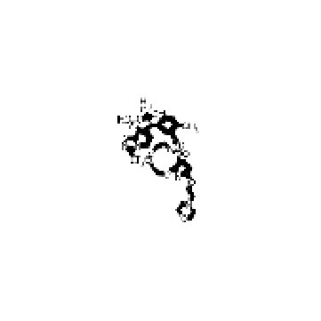 Cc1ccc([C@@H](c2ccn3c(C(F)(F)F)nnc3c2C)C(C)(C)C(=O)O)cc1CN1CCCOCCOc2nc(OCCN3CCOCC3)ccc2S1(=O)=O